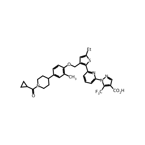 CCc1cc(COc2ccc(C3CCN(C(=O)C4CC4)CC3)cc2C)c(-c2cccc(-n3ncc(C(=O)O)c3C(F)(F)F)n2)s1